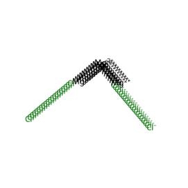 [Cl-].[Cl-].[Cl-].[Cl-].[Cl-].[Cl-].[Cl-].[Cl-].[Cl-].[Cl-].[Cl-].[Cl-].[Cl-].[Cl-].[Cl-].[Cl-].[Cl-].[Cl-].[Cl-].[Cl-].[Cl-].[Cl-].[Cl-].[Cl-].[Cl-].[Cl-].[Cl-].[Cl-].[Cl-].[Cl-].[Cl-].[Cl-].[Cl-].[Cl-].[Cl-].[Cl-].[Cl-].[Cl-].[Cl-].[Cl-].[Mg+2].[Mg+2].[Mg+2].[Mg+2].[Mg+2].[Mg+2].[Mg+2].[Mg+2].[Mg+2].[Mg+2].[Mg+2].[Mg+2].[Mg+2].[Mg+2].[Mg+2].[Mg+2].[Mg+2].[Mg+2].[Mg+2].[Mg+2]